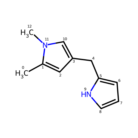 Cc1cc(Cc2ccc[nH]2)cn1C